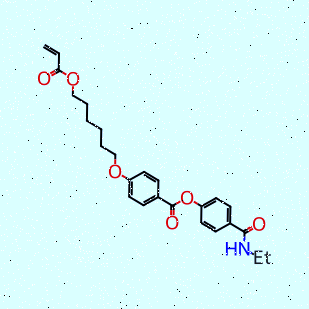 C=CC(=O)OCCCCCCOc1ccc(C(=O)Oc2ccc(C(=O)NCC)cc2)cc1